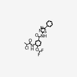 CC(Cl)C(=O)Nc1cc(C(=O)Nc2nnc(-c3ccccc3)s2)ccc1OC(F)F